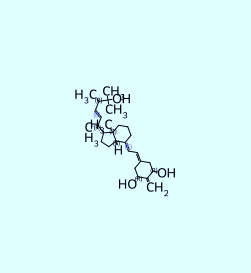 C=C1[C@H](O)CC(=C/C=C2\CCC[C@]3(C)C([C@H](C)/C=C/[C@@H](C)C(C)(C)O)CC[C@@H]23)C[C@H]1O